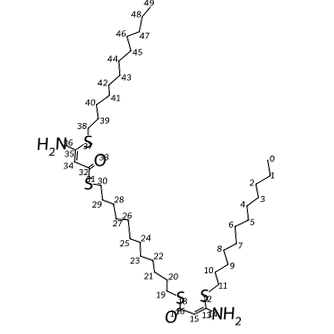 CCCCCCCCCCCCS/C(N)=C\C(=O)SCCCCCCCCCCCCSC(=O)/C=C(/N)SCCCCCCCCCCCC